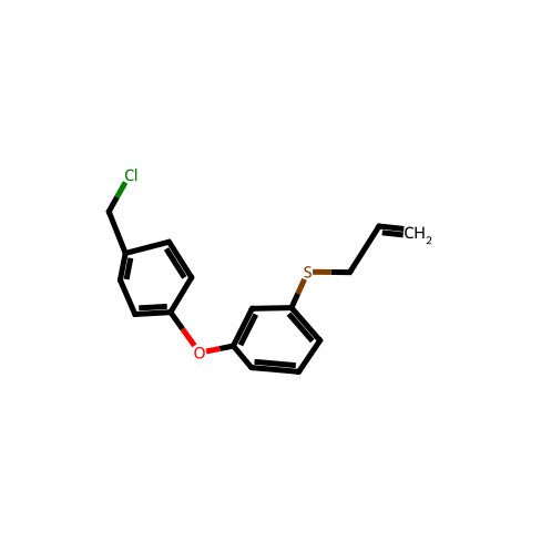 C=CCSc1cccc(Oc2ccc(CCl)cc2)c1